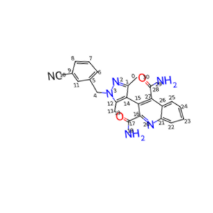 Cc1nn(Cc2cccc(C#N)c2)c(C)c1-c1c(C(N)=O)nc2ccccc2c1C(N)=O